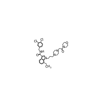 CCc1cccc2c(C(=O)NCc3ccc(Cl)c(Cl)c3)cn(CCCN3CCN(CC(=O)N4CCOCC4)CC3)c12